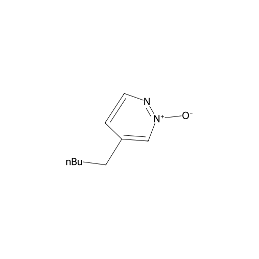 CCCCCc1ccn[n+]([O-])c1